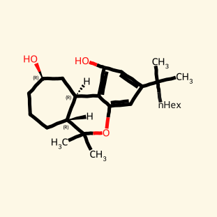 CCCCCCC(C)(C)c1cc(O)c2c(c1)OC(C)(C)[C@@H]1CCC[C@@H](O)C[C@@H]21